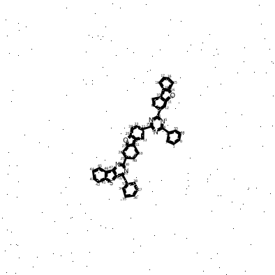 c1ccc(-c2nc(-c3ccc4c(c3)oc3ccccc34)nc(-c3ccc4oc5cc(-c6nc(-c7ccccc7)c7sc8ccccc8c7n6)ccc5c4c3)n2)cc1